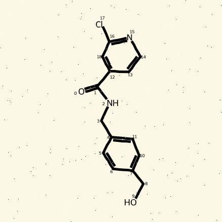 O=C(NCc1ccc(CO)cc1)c1ccnc(Cl)c1